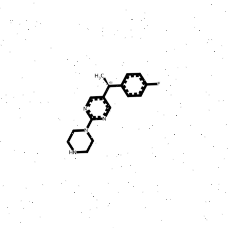 C[C@@H](c1ccc(F)cc1)c1cnc(N2CCNCC2)nc1